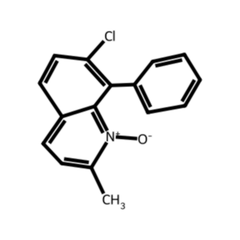 Cc1ccc2ccc(Cl)c(-c3ccccc3)c2[n+]1[O-]